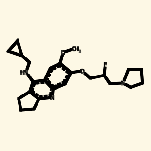 COc1cc2c(NCC3CC3)c3c(nc2cc1OCC(F)CN1CCCC1)CCC3